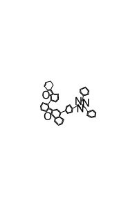 C1=Cc2oc3c(-c4cccc5oc6c7ccccc7c(-c7ccc(-c8nc(-c9ccccc9)nc(-c9ccccc9)n8)cc7)cc6c45)cccc3c2CC1